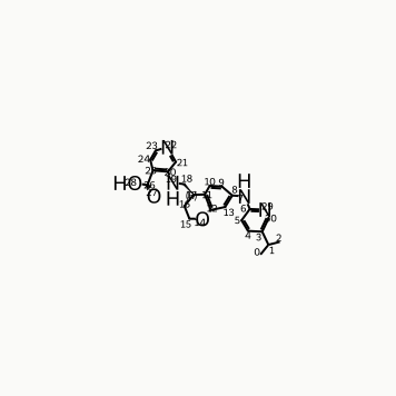 CC(C)c1ccc(Nc2ccc3c(c2)OCC[C@H]3CNc2cnccc2C(=O)O)nc1